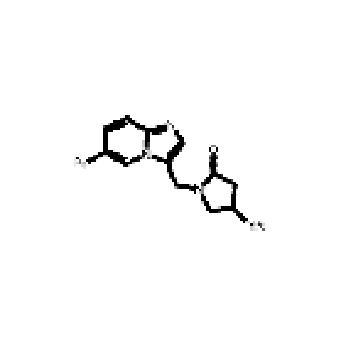 CCCC1CC(=O)N(Cc2cnc3ccc(Br)cn23)C1